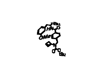 CCCCC(Cc1cccc(OC)c1)NC(=O)c1ccc(CN(C(=O)OC(C)(C)C)C23CC(C2)C3)cc1